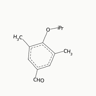 Cc1cc(C=O)cc(C)c1OC(C)C